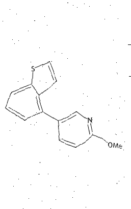 COc1ccc(-c2cccc3s[c]cc23)cn1